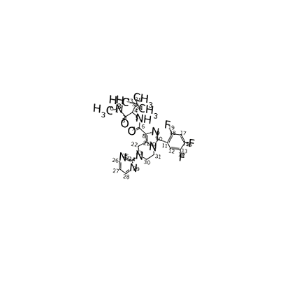 CNC(=O)C(NC(=O)c1nc(-c2cc(F)c(F)cc2F)n2c1CN(c1ncccn1)CC2)C(C)(C)C